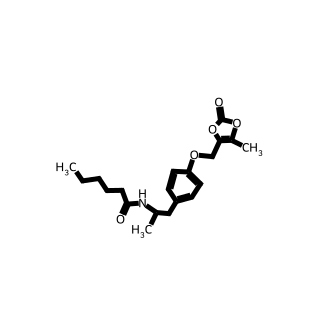 CCCCCC(=O)NC(C)Cc1ccc(OCc2oc(=O)oc2C)cc1